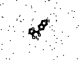 CC1=C(C(=O)N2CC3CNCC3C2)OCC1